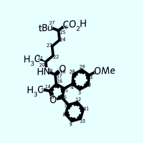 COc1ccc(-c2c(-c3ccccc3)oc(C)c2C(=O)N[C@@H](C)CCCC(C(=O)O)C(C)(C)C)cc1